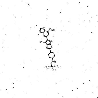 COc1cc(-c2[nH]c3sc(C4CCC(NCC(C)(C)O)CC4)nc3c2C(C)C)cn2ncnc12